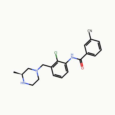 C[C@H]1CN(Cc2cccc(NC(=O)c3cccc(C#N)c3)c2Cl)CCN1